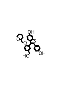 OCc1ccc(OCC2CCCCO2)c(-c2c(-c3ccc(O)cc3)sc3cc(O)ccc23)c1